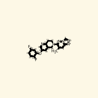 Cc1cc2nncn2nc1N1CCc2ncc(Oc3cc(F)ccc3F)cc2C1